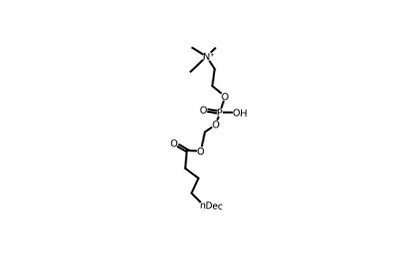 CCCCCCCCCCCCCC(=O)OCOP(=O)(O)OCC[N+](C)(C)C